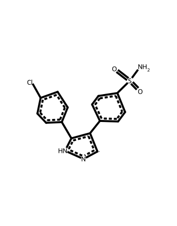 NS(=O)(=O)c1ccc(-c2[c]n[nH]c2-c2ccc(Cl)cc2)cc1